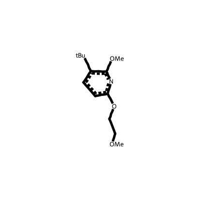 COCCOc1ccc(C(C)(C)C)c(OC)n1